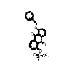 O=C1c2cccc(OS(=O)(=O)C(F)(F)F)c2C(=O)c2cccc(OCc3ccccc3)c21